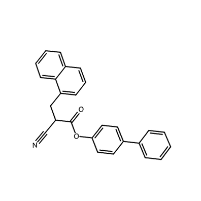 N#CC(Cc1cccc2ccccc12)C(=O)Oc1ccc(-c2ccccc2)cc1